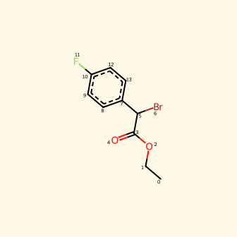 CCOC(=O)C(Br)c1ccc(F)cc1